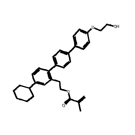 C=C(C)C(=O)OCCc1cc(C2CCCCC2)ccc1-c1ccc(-c2ccc(OCCO)cc2)cc1